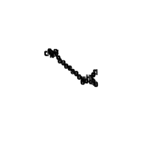 CCCC(NC(=O)/C(C#N)=C/c1cccc(Cl)n1)c1ccc(OCCOCCOCCOCCOCCOCCOCCNC(=O)c2ccc(-c3ccc4c(c3)[C@H](Nc3ccc(Cl)cc3)C[C@H](C)N4C(C)=O)cc2)cc1